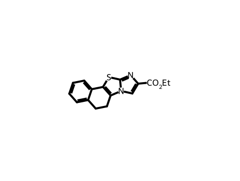 CCOC(=O)c1cn2c3c(sc2n1)-c1ccccc1CC3